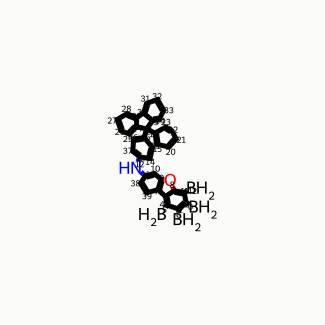 Bc1c(B)c(B)c2c(oc3cc(Nc4ccc(C5(c6ccccc6)c6ccccc6-c6ccccc65)cc4)ccc32)c1B